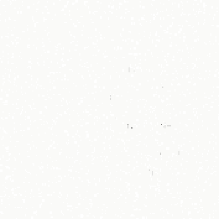 CC(C)[C@H](CO)Nc1nc(SCc2ccccc2)nc2[nH]c(=O)sc12